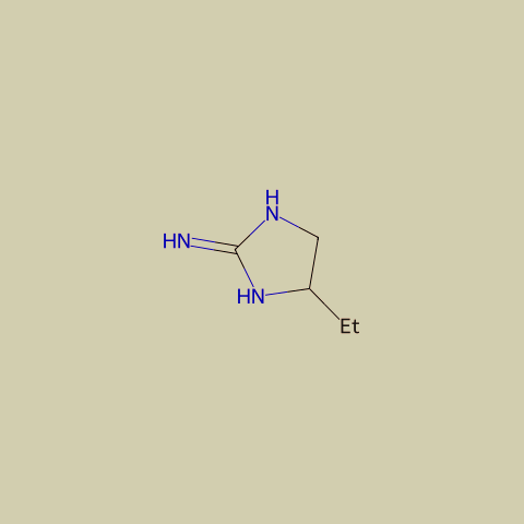 CCC1CNC(=N)N1